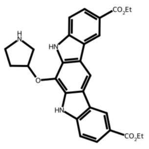 CCOC(=O)c1ccc2[nH]c3c(OC4CCNC4)c4[nH]c5ccc(C(=O)OCC)cc5c4cc3c2c1